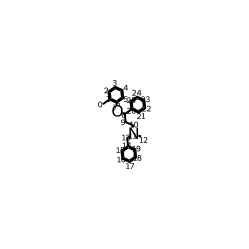 Cc1ccccc1OC(CCN(C)Cc1ccccc1)c1ccccc1